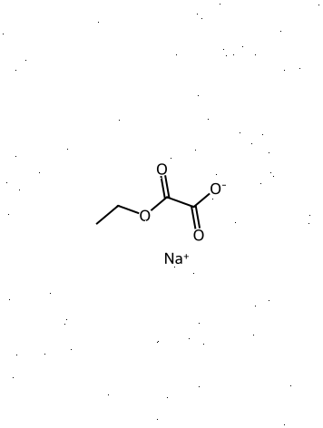 CCOC(=O)C(=O)[O-].[Na+]